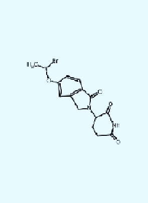 CN(Br)Oc1ccc2c(c1)CN(C1CCC(=O)NC1=O)C2=O